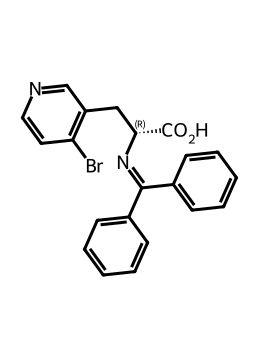 O=C(O)[C@@H](Cc1cnccc1Br)N=C(c1ccccc1)c1ccccc1